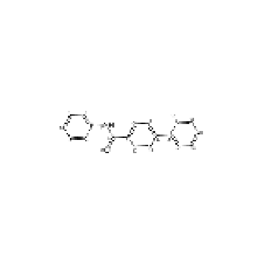 O=C(Nc1ccccc1)c1ccc(-c2ccccn2)cc1